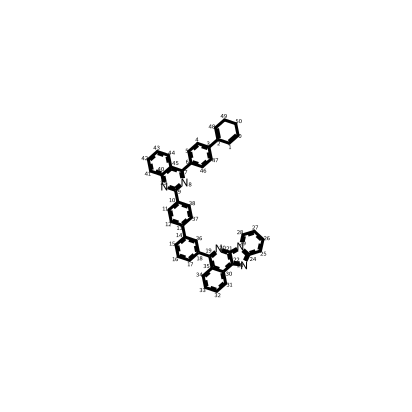 C1=CC(c2ccc(-c3nc(-c4ccc(-c5cccc(-c6nc7c(nc8ccccn87)c7ccccc67)c5)cc4)nc4ccccc34)cc2)=CCC1